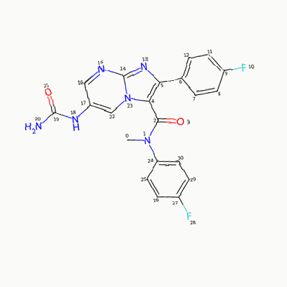 CN(C(=O)c1c(-c2ccc(F)cc2)nc2ncc(NC(N)=O)cn12)c1ccc(F)cc1